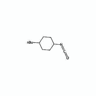 CCCCC1CCC(N=C=O)CC1